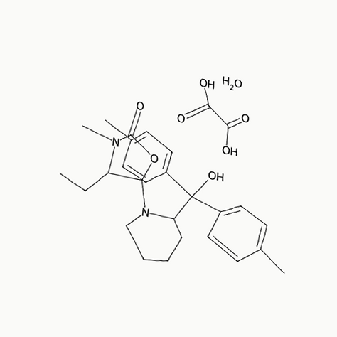 CCC1C(N2CCCCC2C(O)(c2ccc(C)cc2)c2ccc(C)cc2)OC(=O)N1C.O.O=C(O)C(=O)O